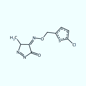 CC1N=NC(=O)C1=NOCc1ccc(Cl)s1